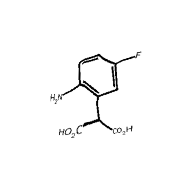 Nc1ccc(F)cc1C(C(=O)O)C(=O)O